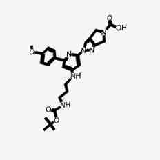 COc1ccc(-c2cc(NCCCNC(=O)OC(C)(C)C)cc(-n3cc4c(n3)CN(C(=O)O)C4)n2)cc1